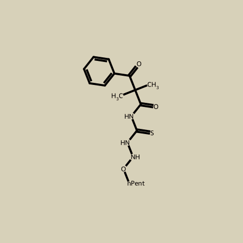 CCCCCONNC(=S)NC(=O)C(C)(C)C(=O)c1ccccc1